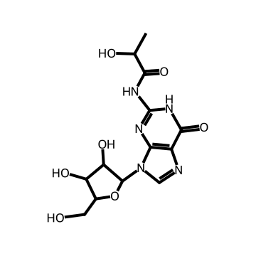 CC(O)C(=O)Nc1nc2c(ncn2C2OC(CO)C(O)C2O)c(=O)[nH]1